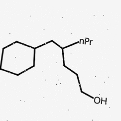 CCCC(CCCO)CC1CCCCC1